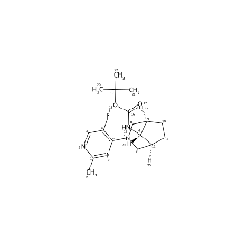 Cc1ncc(F)c(N2C[C@H]3CC[C@@H](C2)[C@@H]3NC(=O)OC(C)(C)C)n1